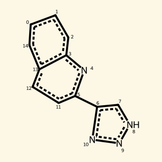 c1ccc2nc(-c3c[nH]nn3)ccc2c1